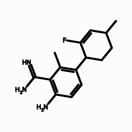 Cc1c(C2CCC(C)C=C2F)ccc(N)c1C(=N)N